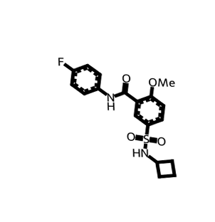 COc1ccc(S(=O)(=O)NC2CCC2)cc1C(=O)Nc1ccc(F)cc1